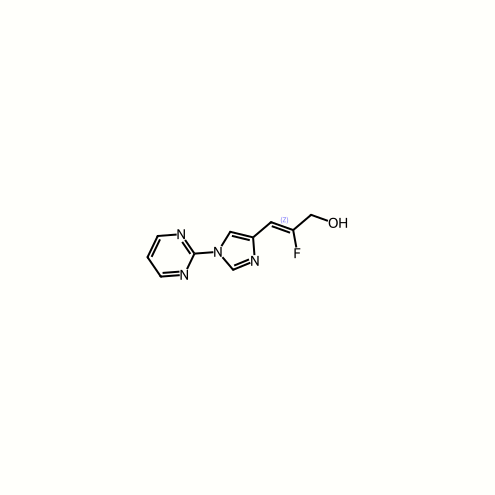 OC/C(F)=C/c1cn(-c2ncccn2)cn1